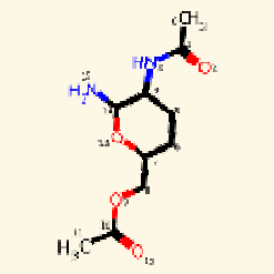 CC(=O)NC1CCC(COC(C)=O)OC1N